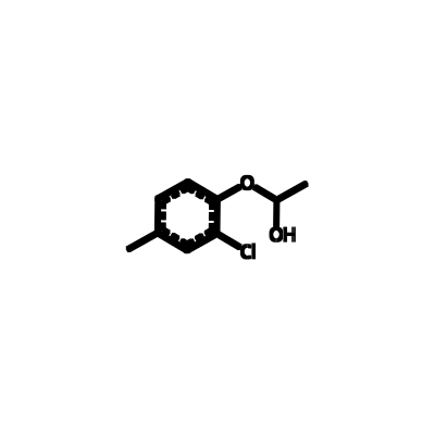 Cc1ccc(OC(C)O)c(Cl)c1